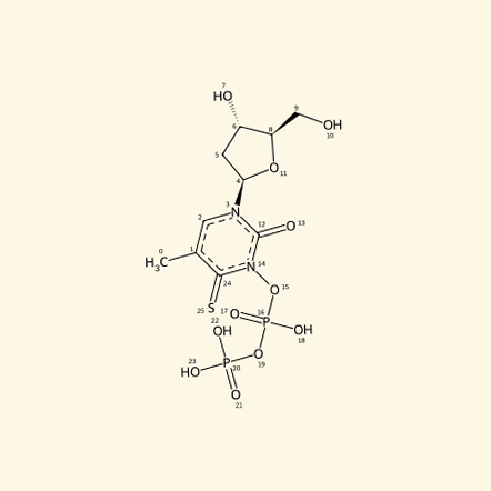 Cc1cn([C@H]2C[C@H](O)[C@@H](CO)O2)c(=O)n(OP(=O)(O)OP(=O)(O)O)c1=S